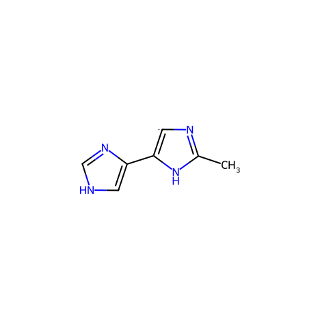 Cc1n[c]c(-c2c[nH]cn2)[nH]1